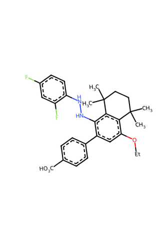 CCOc1cc(-c2ccc(C(=O)O)cc2)c(NNc2ccc(F)cc2F)c2c1C(C)(C)CCC2(C)C